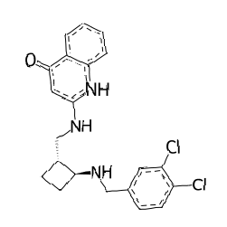 O=c1cc(NC[C@H]2CC[C@@H]2NCc2ccc(Cl)c(Cl)c2)[nH]c2ccccc12